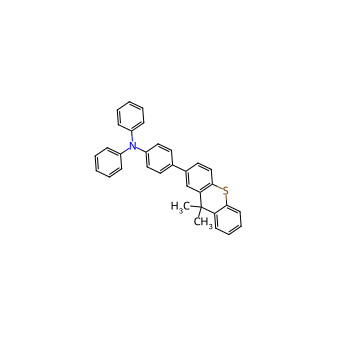 CC1(C)c2ccccc2Sc2ccc(-c3ccc(N(c4ccccc4)c4ccccc4)cc3)cc21